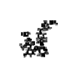 CC(C)N(C(=O)c1cc(F)ccc1Oc1cncnc1N1CC2(CCN(C[C@@H]3CC[C@@H](N)CO3)CC2)C1)C1CC1.Cl